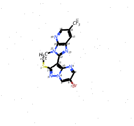 CCSc1nn2cc(Br)cnc2c1-c1nc2cc(C(F)(F)F)cnc2n1C